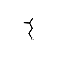 CC(C)C[CH2][Sc]